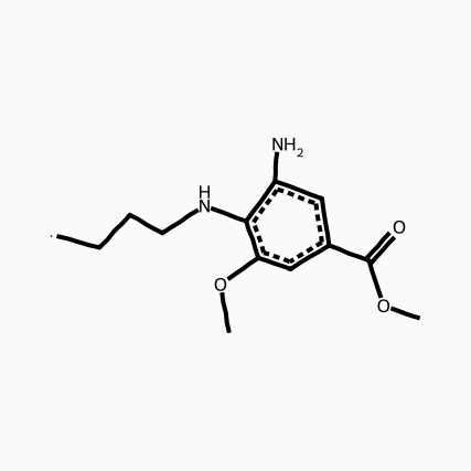 [CH2]CCCNc1c(N)cc(C(=O)OC)cc1OC